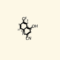 N#Cc1cc(O)c2cc(C(F)(F)F)ccc2n1